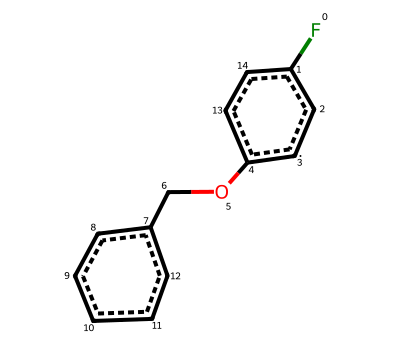 Fc1c[c]c(OCc2ccccc2)cc1